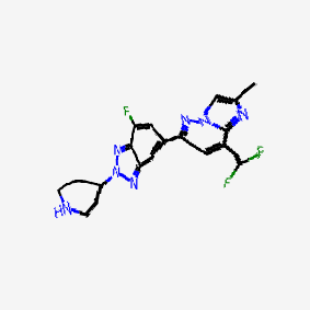 Cc1cn2nc(-c3cc(F)c4nn(C5CCNCC5)nc4c3)cc(C(F)F)c2n1